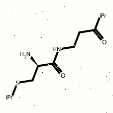 CC(C)SC[C@@H](N)C(=O)NCCC(=O)C(C)C